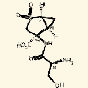 N[C@@H](CO)C(=O)N[C@@]1(C(=O)O)CS(=O)(=O)[C@H]2C[C@H]21